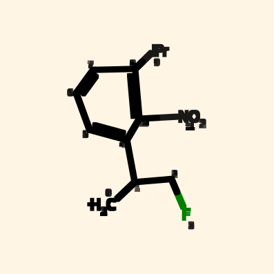 [CH2]C(CF)c1cccc(C(C)C)c1[N+](=O)[O-]